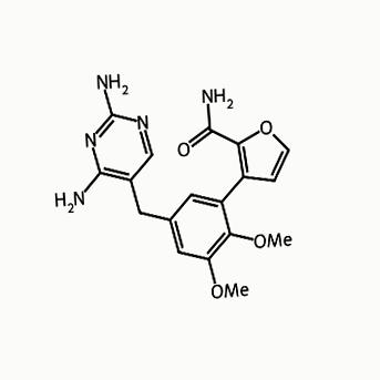 COc1cc(Cc2cnc(N)nc2N)cc(-c2ccoc2C(N)=O)c1OC